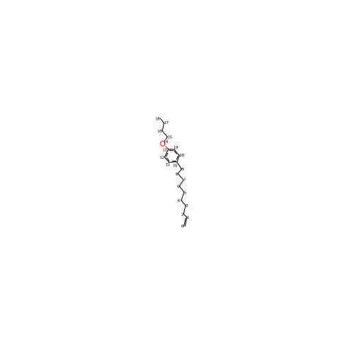 C=CCCCCCCCCc1ccc(OCCCC)cc1